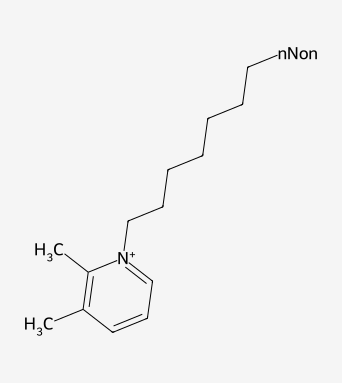 CCCCCCCCCCCCCCCC[n+]1cccc(C)c1C